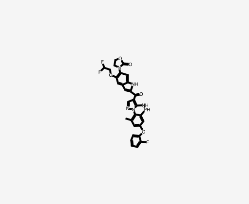 Cc1cc(Oc2ccccc2F)cc2c1-n1ncc(C(=O)c3cc4cc(OCC(F)F)c(N5CCOC5=O)cc4[nH]3)c1NP2